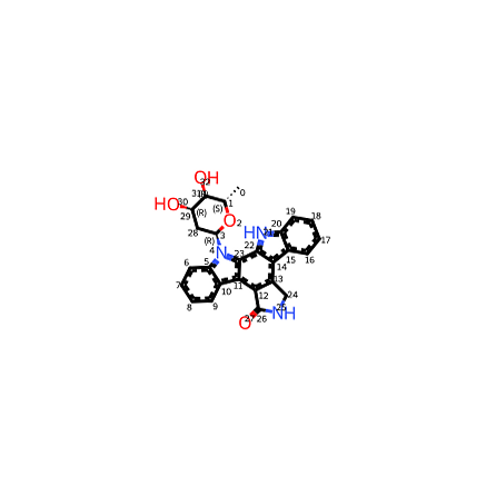 C[C@@H]1O[C@@H](n2c3ccccc3c3c4c(c5c6ccccc6[nH]c5c32)CNC4=O)C[C@@H](O)[C@H]1O